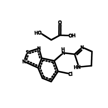 Clc1ccc2nsnc2c1NC1=NCCN1.O=C(O)CO